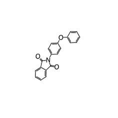 O=C1c2ccccc2C(=O)N1c1ccc(Oc2ccccc2)cc1